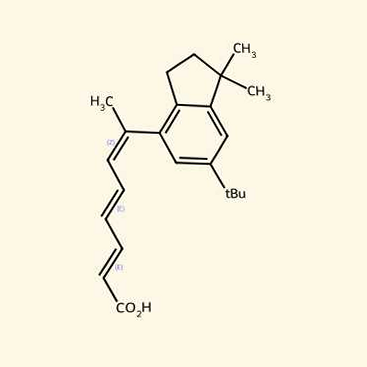 C/C(=C/C=C/C=C/C(=O)O)c1cc(C(C)(C)C)cc2c1CCC2(C)C